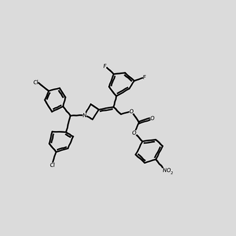 O=C(OCC(=C1CN(C(c2ccc(Cl)cc2)c2ccc(Cl)cc2)C1)c1cc(F)cc(F)c1)Oc1ccc([N+](=O)[O-])cc1